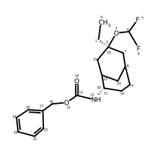 CC[C@]1(OC(F)F)CC2CC[C@H](NC(=O)OCc3ccccc3)C(C2)C1